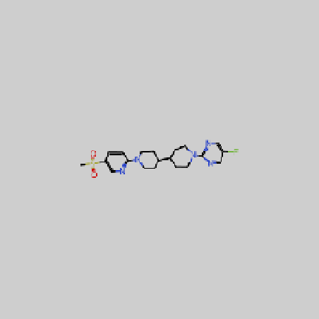 CS(=O)(=O)c1ccc(N2CCC(C3CCN(c4ncc(F)cn4)CC3)CC2)nc1